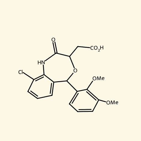 COc1cccc(C2OC(CC(=O)O)C(=O)Nc3c(Cl)cccc32)c1OC